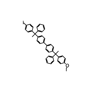 CC(c1ccccc1)(c1ccc(I)cc1)c1ccc(-c2ccc(C(C)(c3ccccc3)c3ccc(OI)cc3)cc2)cc1